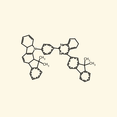 CC1(C)c2ccccc2-c2ccc(-c3nc(-c4ccc(N5C6=C(C=CC7c8ccccc8C(C)(C)C67)C6C=CC=CC65)cc4)nc4c3=CCCC=4)cc21